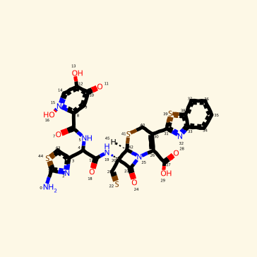 Nc1nc(C(NC(=O)c2cc(=O)c(O)cn2O)C(=O)N[C@@]2(C=S)C(=O)N3C(C(=O)O)=C(c4nc5ccccc5s4)CS[C@@H]32)cs1